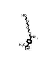 Cc1ncsc1-c1ccc(/C(N)=C/OCCOCCOCCO)cc1